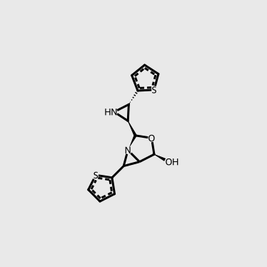 O[C@@H]1OC([C@H]2N[C@@H]2c2cccs2)[N@]2C(c3cccs3)C12